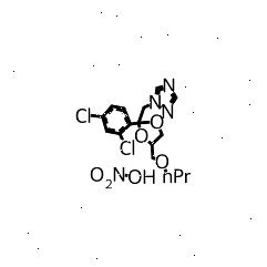 CCCOCC1COC(Cn2cncn2)(c2ccc(Cl)cc2Cl)O1.O=[N+]([O-])O